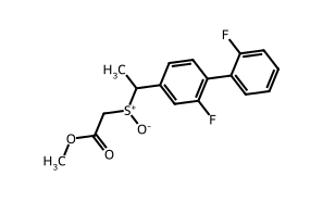 COC(=O)C[S+]([O-])C(C)c1ccc(-c2ccccc2F)c(F)c1